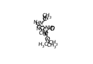 Cn1cc(CNc2c(C#N)cnc3c(Cl)cc(N[C@@H](c4ccccc4)c4cn(C5CCN(C(C)(C)C)CC5)nn4)cc23)cn1